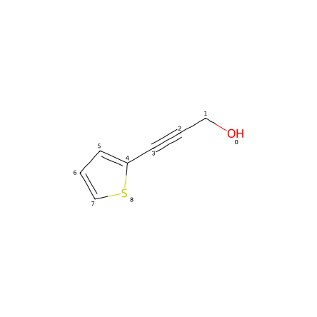 OCC#Cc1cccs1